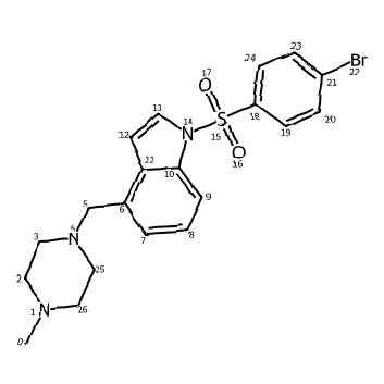 CN1CCN(Cc2cccc3c2ccn3S(=O)(=O)c2ccc(Br)cc2)CC1